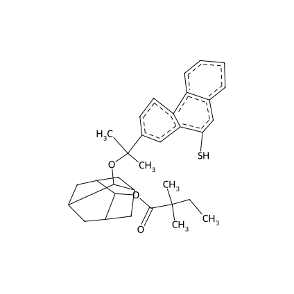 CCC(C)(C)C(=O)OC1C2CC3CC1CC(C2)C3OC(C)(C)c1ccc2c(c1)c(S)cc1ccccc12